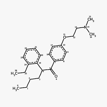 CCCCC(C(=O)c1ccc(OCCN(C)C)cc1)c1ccccc1CC